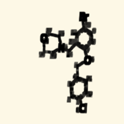 Clc1ccc(COc2ccc(Br)cc2CN2CCOCC2)cc1